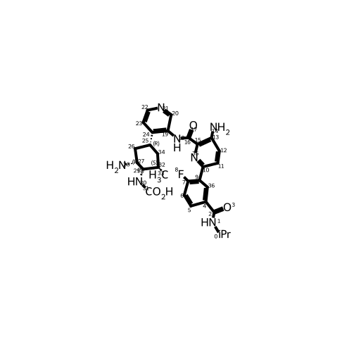 CC(C)NC(=O)c1ccc(F)c(-c2ccc(N)c(C(=O)Nc3cnccc3[C@H]3C[C@@H](N)[C@@H](NC(=O)O)[C@@H](C)C3)n2)c1